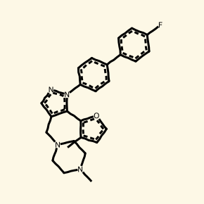 Cc1ccoc1-c1c(CN2CCN(C)CC2)cnn1-c1ccc(-c2ccc(F)cc2)cc1